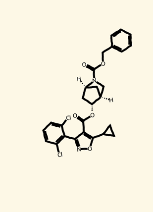 O=C(O[C@@H]1C[C@@H]2C[C@H]1CN2C(=O)OCc1ccccc1)c1c(-c2c(Cl)cccc2Cl)noc1C1CC1